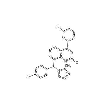 Cn1c(=O)cc(-c2cccc(Cl)c2)c2cccc(C(c3ccc(Cl)cc3)n3ccnc3)c21